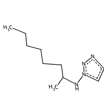 CCC[CH]CCC(C)Nn1ccnn1